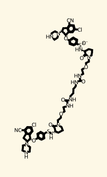 N#Cc1cc(Cl)cc2c1C[C@H](N1CCNCC1)[C@H]2Oc1ccc(SN[C@H]2CCCN(CCOCCNC(=O)NCCCCNC(=O)NCCOCCN3CCC[C@H](N[S+]([O-])c4ccc(O[C@H]5c6cc(Cl)cc(C#N)c6C[C@@H]5N5CCNCC5)cc4)C3=O)C2=O)cc1